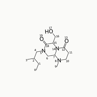 CCC(C)CN1CC2N(C)CCC(=O)N2C(CO)C1=O